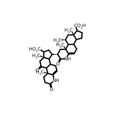 C[C@H]1C[C@]2(C)C(C(=O)O)CCC2C2CC=C3NC(=O)[C@@H](C4CC(C(=O)O)[C@@]5(C)CC(=O)C6C(CC=C7NC(=O)CC[C@@]76C)C45)C[C@]3(C)C21